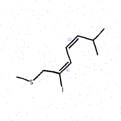 CSC/C(I)=C\C=C/C(C)C